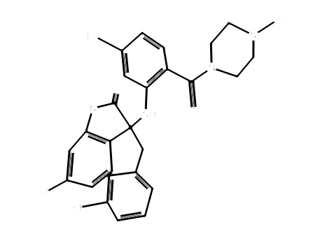 CC(=O)N1CCN(C(=O)c2ccc(Br)cc2NC2(Cc3cccc(Cl)c3)C(=O)Nc3cc(Cl)ccc32)CC1